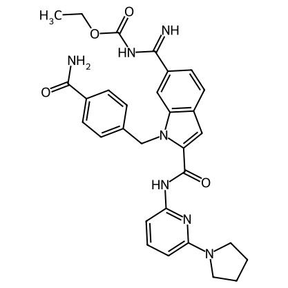 CCOC(=O)NC(=N)c1ccc2cc(C(=O)Nc3cccc(N4CCCC4)n3)n(Cc3ccc(C(N)=O)cc3)c2c1